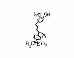 CN(C)c1ccc2c(c1)OC=C/C2=C\C=C\c1ccc(O)c(O)c1